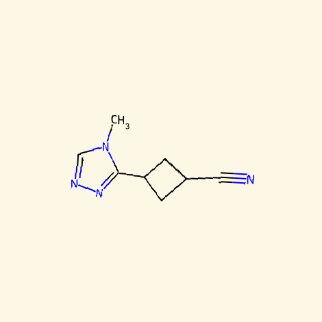 Cn1cnnc1C1CC(C#N)C1